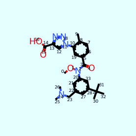 CON(C(=O)c1ccc(C)c(-n2cc(C(=O)O)nn2)c1)c1cc(CN(C)C)cc(C(C)(C)C)c1